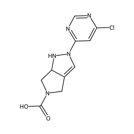 O=C(O)N1CC2=CN(c3cc(Cl)ncn3)NC2C1